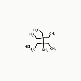 CCC(N)(CC)C(CC)(CC)CC.Cl